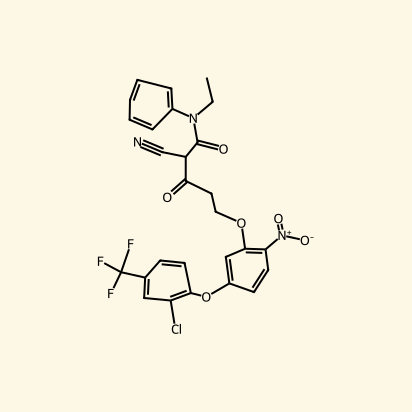 CCN(C(=O)C(C#N)C(=O)CCOc1cc(Oc2ccc(C(F)(F)F)cc2Cl)ccc1[N+](=O)[O-])c1ccccc1